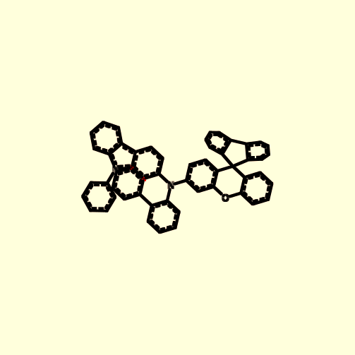 c1ccc(-c2ccccc2N(c2ccc3c(c2)Oc2ccccc2C32c3ccccc3-c3ccccc32)c2ccc3c4ccccc4n(-c4ccccc4)c3c2)cc1